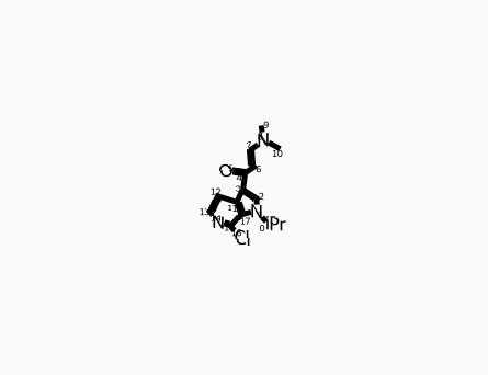 CC(C)n1cc(C(=O)/C=C/N(C)C)c2ccnc(Cl)c21